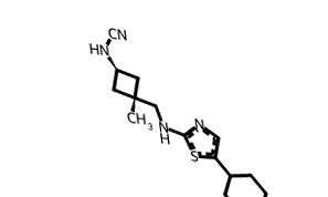 C[C@]1(CNc2ncc(C3CCCCC3)s2)C[C@H](NC#N)C1